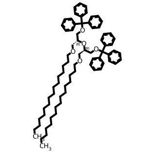 CCCCCCCCCCCCCCCCOC[C@H](COC(c1ccccc1)(c1ccccc1)c1ccccc1)O[C@H](COCCCCCCCCCCCCCCCC)COC(c1ccccc1)(c1ccccc1)c1ccccc1